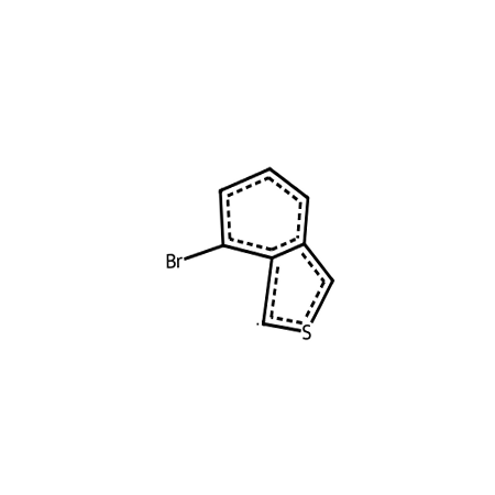 Brc1cccc2cs[c]c12